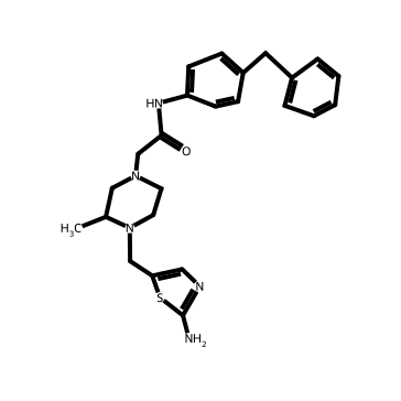 CC1CN(CC(=O)Nc2ccc(Cc3ccccc3)cc2)CCN1Cc1cnc(N)s1